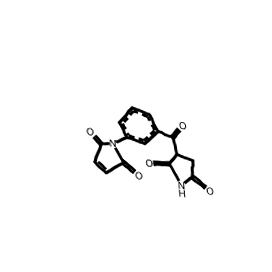 O=C1CC(C(=O)c2cccc(N3C(=O)C=CC3=O)c2)C(=O)N1